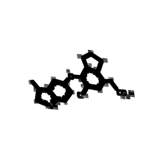 Cc1c[nH]c2ccc(Oc3c(Cl)cc(CC(=O)O)c4c3CCC4)cc12